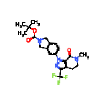 CN1CCc2c(C(F)(F)F)nn(-c3ccc4c(c3)CN(C(=O)OC(C)(C)C)C4)c2C1=O